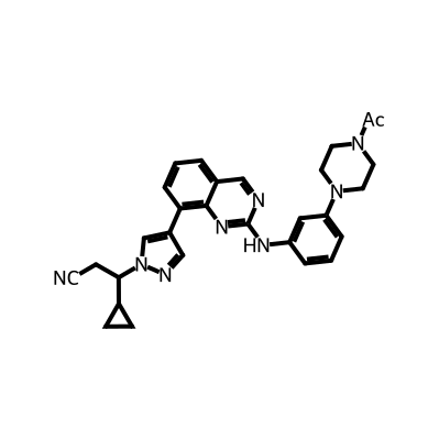 CC(=O)N1CCN(c2cccc(Nc3ncc4cccc(-c5cnn(C(CC#N)C6CC6)c5)c4n3)c2)CC1